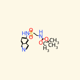 CC(C)(C)OC(=O)NCCS(=O)(=O)Nc1ccc2cnccc2c1